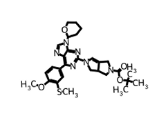 COc1ccc(-c2nc(N3C=C4CN(C(=O)OC(C)(C)C)CC4C3)nc3c2ncn3C2CCCCO2)cc1SC